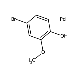 COc1cc(Br)ccc1O.[Pd]